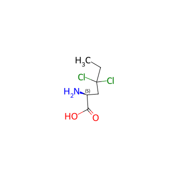 CCC(Cl)(Cl)C[C@H](N)C(=O)O